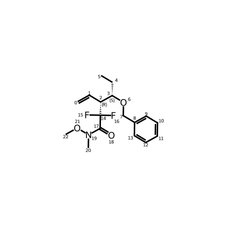 C=C[C@H]([C@H](CC)OCc1ccccc1)C(F)(F)C(=O)N(C)OC